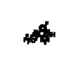 Cc1nc(-c2c(-c3ccc(F)cc3)nn3c2CO[C@H](C(F)(F)F)C3)c2cn[nH]c2n1